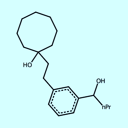 CCCC(O)c1cccc(CCC2(O)CCCCCCC2)c1